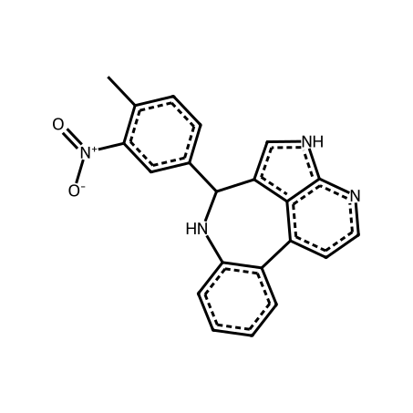 Cc1ccc(C2Nc3ccccc3-c3ccnc4[nH]cc2c34)cc1[N+](=O)[O-]